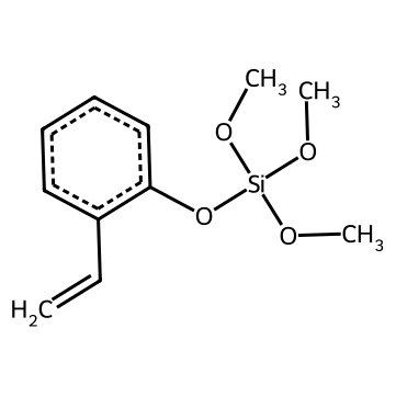 C=Cc1ccccc1O[Si](OC)(OC)OC